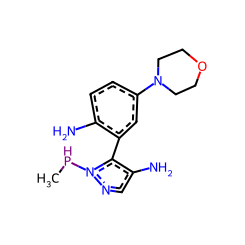 CPn1ncc(N)c1-c1cc(N2CCOCC2)ccc1N